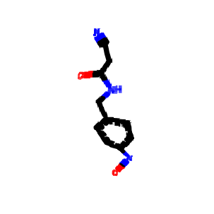 N#CCC(=O)NCc1ccc(N=O)cc1